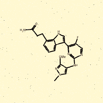 COc1nn(C)cc1Nc1ncc(F)c(-c2c[nH]c3c(CCC(N)=O)cccc23)n1